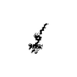 CCCCCCCOc1ccc(CCC(COC(C)=O)(COC(C)=O)NC(C)=O)cc1OC